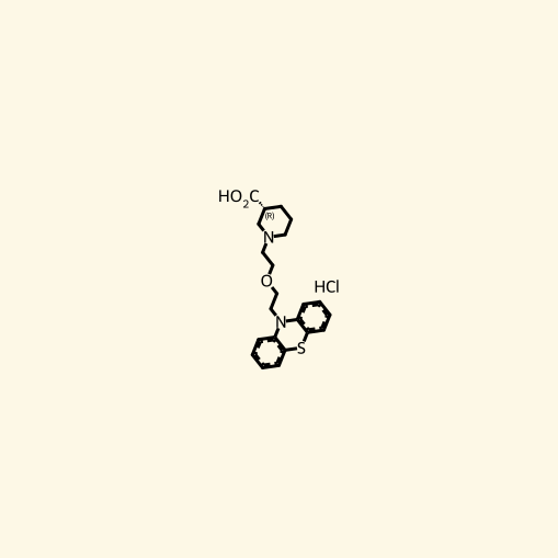 Cl.O=C(O)[C@@H]1CCCN(CCOCCN2c3ccccc3Sc3ccccc32)C1